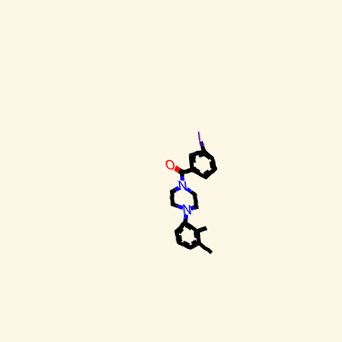 Cc1cccc(N2CCN(C(=O)c3cccc(I)c3)CC2)c1C